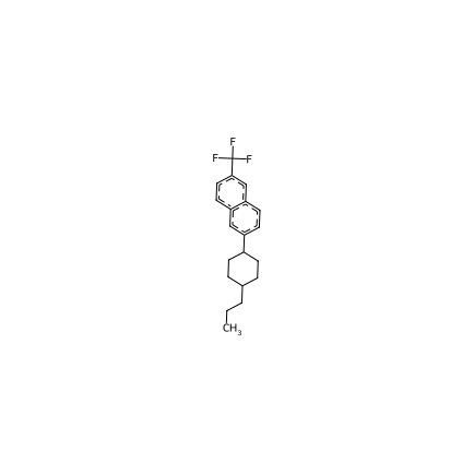 CCCC1CCC(c2ccc3cc(C(F)(F)F)ccc3c2)CC1